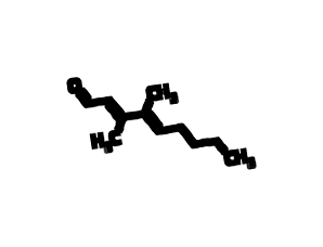 CCCC/C=C(C)/C(C)=C/C=O